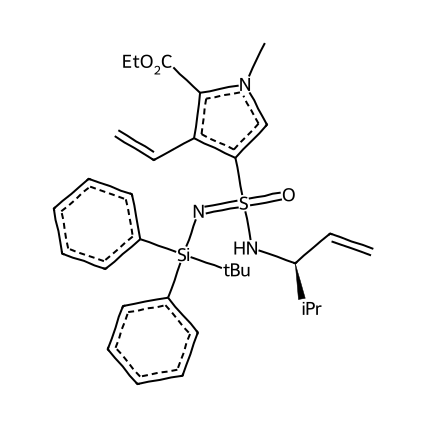 C=Cc1c(S(=O)(=N[Si](c2ccccc2)(c2ccccc2)C(C)(C)C)N[C@@H](C=C)C(C)C)cn(C)c1C(=O)OCC